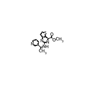 COC(=O)c1nc(N[C@@H](C)c2cccnc2)nc2ccsc12